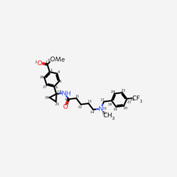 COC(=O)c1ccc(C2(NC(=O)CCCCN(C)Cc3ccc(C(F)(F)F)cc3)CC2)cc1